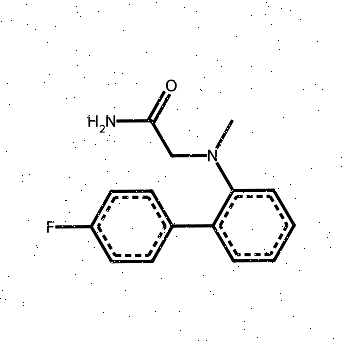 CN(CC(N)=O)c1ccccc1-c1ccc(F)cc1